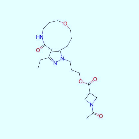 CCc1nn(CCCOC(=O)C2CN(C(C)=O)C2)c2c1C(=O)NCCCOCCC2